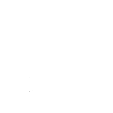 [CH2]CCOCCCc1cccc2c1CCCC2